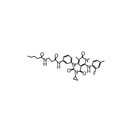 CCCCC(=O)NCCC(=O)Nc1cccc(-n2c(=O)n(C3CC3)c(=O)c3c(Nc4ccc(C)cc4F)n(C)c(=O)c(C)c32)c1